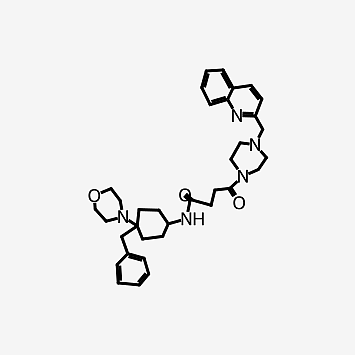 O=C(CCC(=O)N1CCN(Cc2ccc3ccccc3n2)CC1)NC1CCC(Cc2ccccc2)(N2CCOCC2)CC1